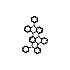 c1ccc(N2c3ccccc3B3c4ccc5c6c4N(c4ccccc4B6c4ccccc4N5c4ccccc4)c4cccc2c43)cc1